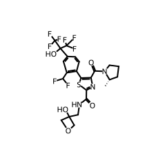 C[C@H]1CCCN1C(=O)c1nc(C(=O)NCC2(O)COC2)sc1-c1ccc(C(O)(C(F)(F)F)C(F)(F)F)cc1C(F)F